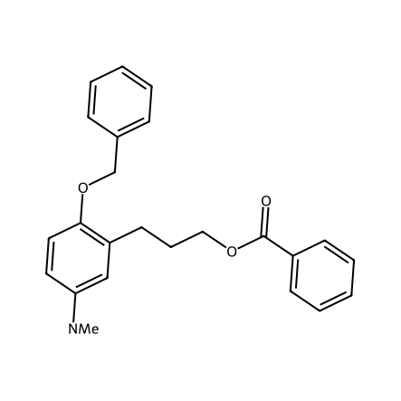 CNc1ccc(OCc2ccccc2)c(CCCOC(=O)c2ccccc2)c1